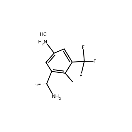 Cc1c([C@@H](C)N)cc(N)cc1C(F)(F)F.Cl